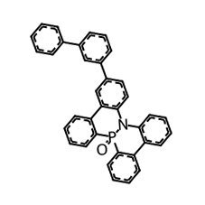 O=P12c3ccccc3-c3ccccc3N1c1ccc(-c3cccc(-c4ccccc4)c3)cc1-c1ccccc12